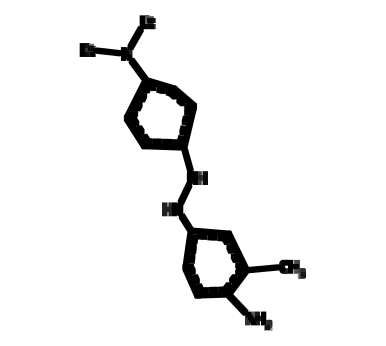 CCN(CC)c1ccc(NNc2ccc(N)c(C)c2)cc1